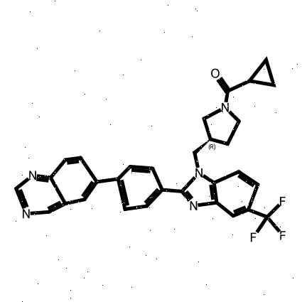 O=C(C1CC1)N1CC[C@@H](Cn2c(-c3ccc(-c4ccc5ncncc5c4)cc3)nc3cc(C(F)(F)F)ccc32)C1